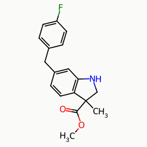 COC(=O)C1(C)CNc2cc(Cc3ccc(F)cc3)ccc21